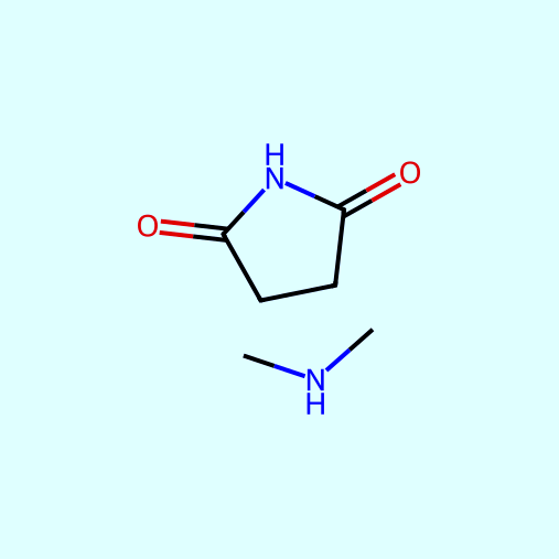 CNC.O=C1CCC(=O)N1